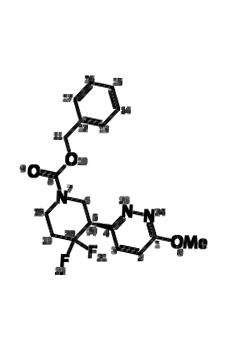 COc1ccc([C@@H]2CN(C(=O)OCc3ccccc3)CCC2(F)F)nn1